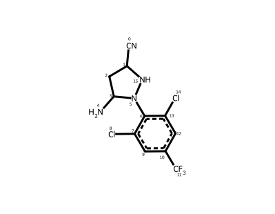 N#CC1CC(N)N(c2c(Cl)cc(C(F)(F)F)cc2Cl)N1